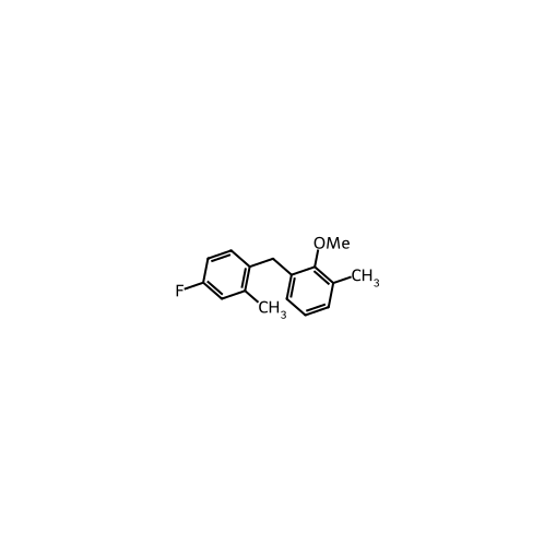 COc1c(C)cccc1Cc1ccc(F)cc1C